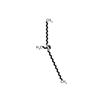 CCCCCCCCCCCCCCCCCCC[n+]1ccn(CCCCCCCCCCCCCC)c1CCC